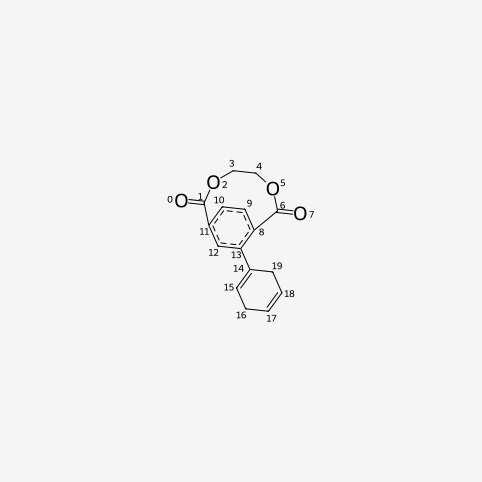 O=C1OCCOC(=O)c2ccc1cc2C1=CCC=CC1